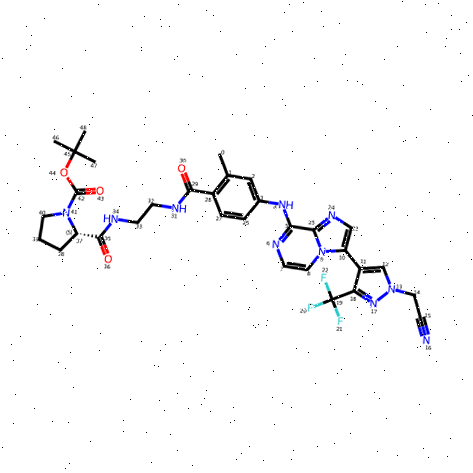 Cc1cc(Nc2nccn3c(-c4cn(CC#N)nc4C(F)(F)F)cnc23)ccc1C(=O)NCCNC(=O)[C@@H]1CCCN1C(=O)OC(C)(C)C